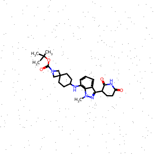 Cn1nc(C2CCC(=O)NC2=O)c2cccc(NC3CCC4(CC3)CN(C(=O)OC(C)(C)C)C4)c21